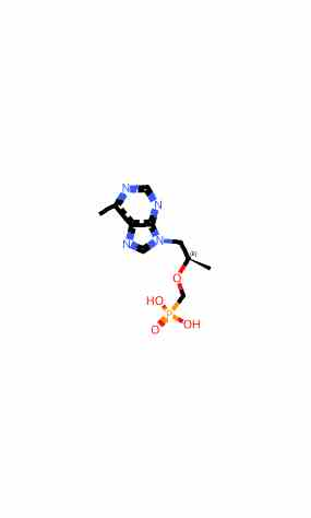 Cc1ncnc2c1ncn2C[C@@H](C)OCP(=O)(O)O